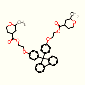 CC1CC(C(=O)OCCOc2ccc(C3(c4ccc(OCCOC(=O)C5CCOC(C)C5)cc4)c4ccccc4-c4ccccc43)cc2)CCO1